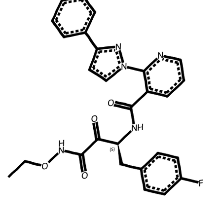 CCONC(=O)C(=O)[C@H](Cc1ccc(F)cc1)NC(=O)c1cccnc1-n1ccc(-c2ccccc2)n1